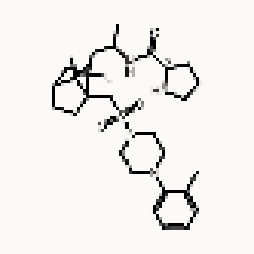 Cc1ccccc1N1CCN(S(=O)(=O)CC23CCC(CC2(O)CC(C)NC(=O)[C@@H]2CCCN2)C3(C)C)CC1